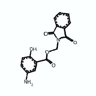 Nc1ccc(O)c(C(=O)OCN2C(=O)c3ccccc3C2=O)c1